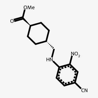 COC(=O)[C@H]1CC[C@H](CNc2ccc(C#N)cc2[N+](=O)[O-])CC1